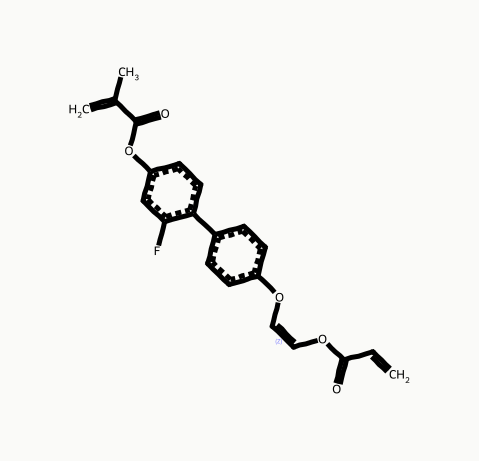 C=CC(=O)O/C=C\Oc1ccc(-c2ccc(OC(=O)C(=C)C)cc2F)cc1